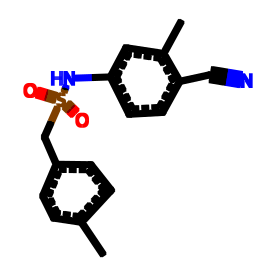 Cc1ccc(CS(=O)(=O)Nc2ccc(C#N)c(C)c2)cc1